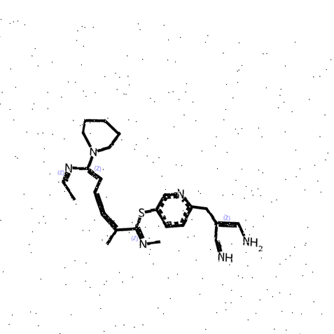 C/C=N\C(=C/C=C=C(C)/C(=N/C)Sc1ccc(C/C(C=N)=C/N)nc1)N1CCCCC1